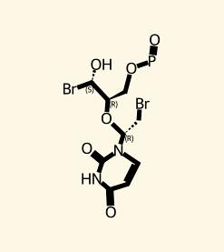 O=POC[C@@H](O[C@H](CBr)n1ccc(=O)[nH]c1=O)[C@@H](O)Br